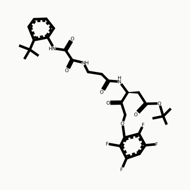 CC(C)(C)OC(=O)C[C@H](NC(=O)CCNC(=O)C(=O)Nc1ccccc1C(C)(C)C)C(=O)COc1c(F)c(F)cc(F)c1F